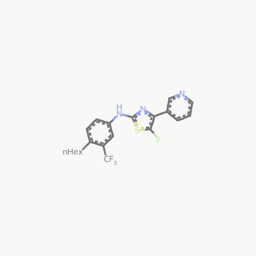 CCCCCCc1ccc(Nc2nc(-c3cccnc3)c(F)s2)cc1C(F)(F)F